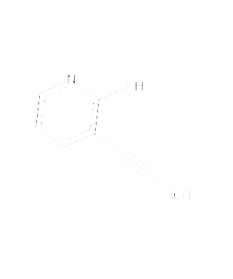 CC#Cc1cccnc1C